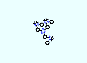 CC1(C)N=C(c2cccc(-c3nc(-c4cccc(C5=NC(C)(C)C(C)(C)N5c5ccccc5)c4)nc(-c4cccc(C5=NC(C)(C)C(C)(C)N5c5ccccc5)c4)n3)c2)N(c2ccccc2)C1(C)C